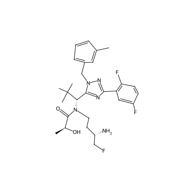 Cc1cccc(Cn2nc(-c3cc(F)ccc3F)nc2[C@H](N(CC[C@H](N)CF)C(=O)[C@H](C)O)C(C)(C)C)c1